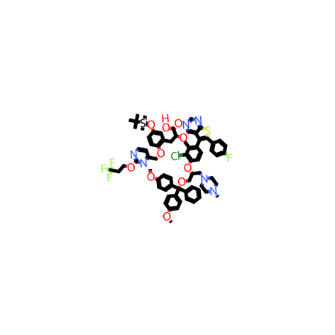 COc1ccc(C(OCC(CN2CCN(C)CC2)Oc2ccc(-c3c(-c4ccc(F)cc4)sc4ncnc(OC(Cc5cc(O[Si](C)(C)C(C)(C)C)ccc5OCc5ccnc(OCCC(F)(F)F)n5)C(=O)O)c34)c(C)c2Cl)(c2ccccc2)c2ccc(OC)cc2)cc1